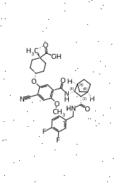 COc1cc(C#N)c(O[C@H]2CC[C@@](C)(C(=O)O)CC2)cc1C(=O)N[C@@H]1[C@H]2CC[C@H](C2)[C@@H]1C(=O)NCc1ccc(F)c(F)c1